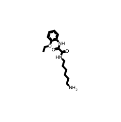 CCOc1ccccc1NC(=O)C(=O)NCCCCCCN